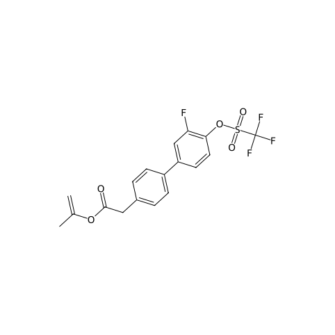 C=C(C)OC(=O)Cc1ccc(-c2ccc(OS(=O)(=O)C(F)(F)F)c(F)c2)cc1